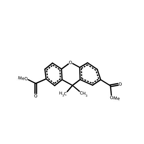 COC(=O)c1ccc2c(c1)C(C)(C)c1cc(C(=O)OC)ccc1O2